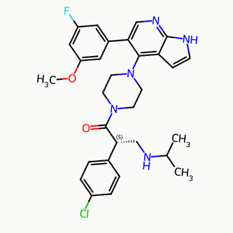 COc1cc(F)cc(-c2cnc3[nH]ccc3c2N2CCN(C(=O)[C@H](CNC(C)C)c3ccc(Cl)cc3)CC2)c1